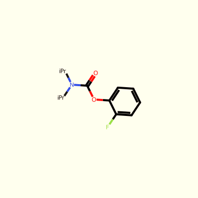 CC(C)N(C(=O)Oc1ccccc1F)C(C)C